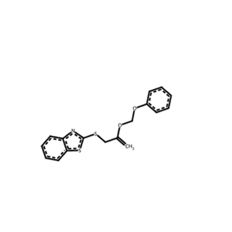 C=C(CSc1nc2ccccc2s1)OCOc1ccccc1